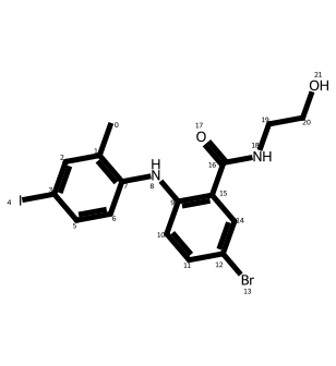 Cc1cc(I)ccc1Nc1ccc(Br)cc1C(=O)NCCO